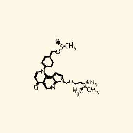 CS(=O)OCC1CCC(n2ccc(=O)c3cnc4c(ccn4COCC[Si](C)(C)C)c32)CC1